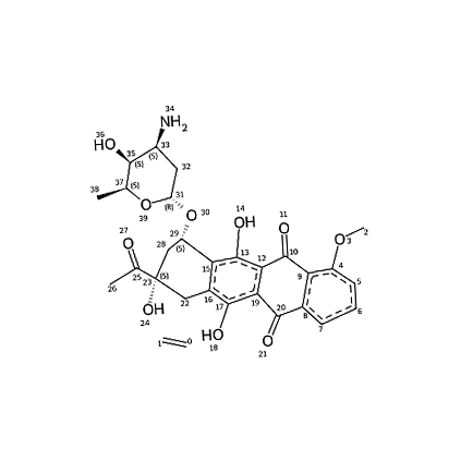 C=C.COc1cccc2c1C(=O)c1c(O)c3c(c(O)c1C2=O)C[C@@](O)(C(C)=O)C[C@@H]3O[C@H]1C[C@H](N)[C@H](O)[C@H](C)O1